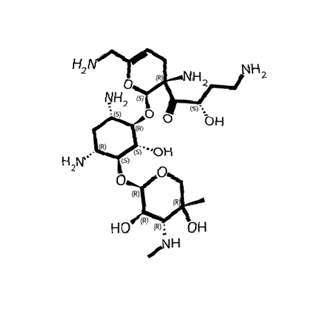 CN[C@@H]1[C@@H](O)[C@@H](O[C@@H]2[C@@H](O)[C@H](O[C@H]3OC(CN)=CC[C@]3(N)C(=O)[C@@H](O)CCN)[C@@H](N)C[C@H]2N)OC[C@]1(C)O